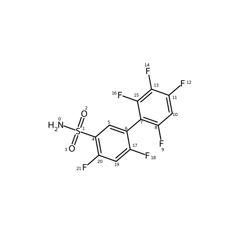 NS(=O)(=O)c1cc(-c2c(F)cc(F)c(F)c2F)c(F)cc1F